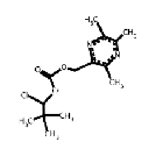 Cc1nc(C)c(COC(=O)OC(Cl)C(C)(C)C)nc1C